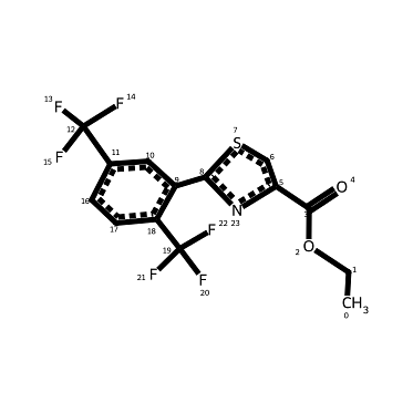 CCOC(=O)c1csc(-c2cc(C(F)(F)F)ccc2C(F)(F)F)n1